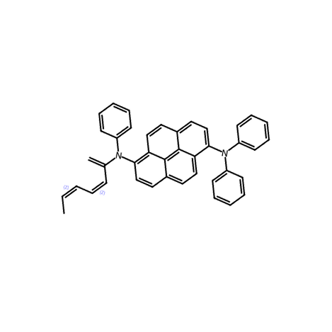 C=C(/C=C\C=C/C)N(c1ccccc1)c1ccc2ccc3c(N(c4ccccc4)c4ccccc4)ccc4ccc1c2c43